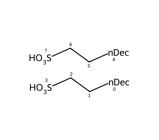 CCCCCCCCCCCCS(=O)(=O)O.CCCCCCCCCCCCS(=O)(=O)O